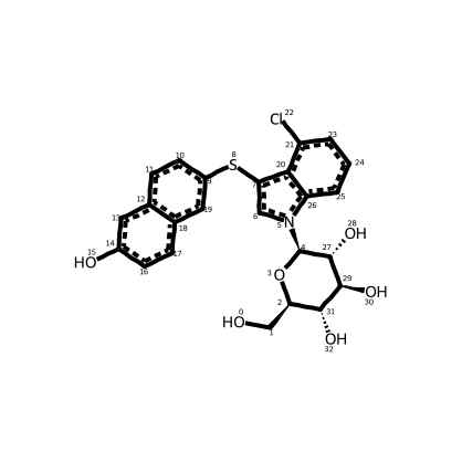 OC[C@H]1O[C@@H](n2cc(Sc3ccc4cc(O)ccc4c3)c3c(Cl)cccc32)[C@H](O)[C@@H](O)[C@@H]1O